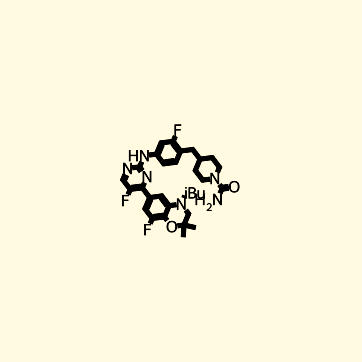 CCC(C)N1CC(C)(C)Oc2c(F)cc(-c3nc(Nc4ccc(CC5CCN(C(N)=O)CC5)c(F)c4)ncc3F)cc21